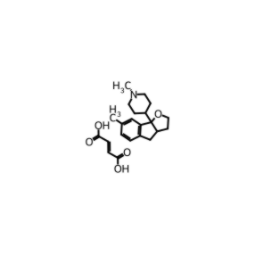 Cc1ccc2c(c1)C1(C3CCN(C)CC3)OCCC1C2.O=C(O)/C=C/C(=O)O